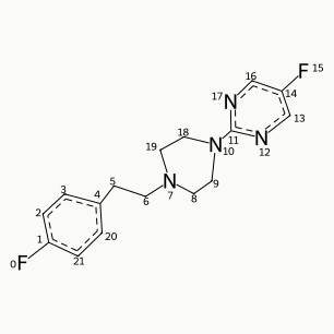 Fc1ccc(CCN2CCN(c3ncc(F)cn3)CC2)cc1